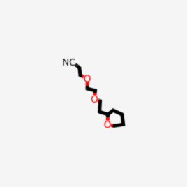 N#CCCOCCOCCC1CCCCO1